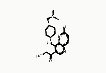 CN(C)C[C@H]1CC[C@H](Nc2c(C(=O)CO)cnc3ccc(Cl)nc23)CC1